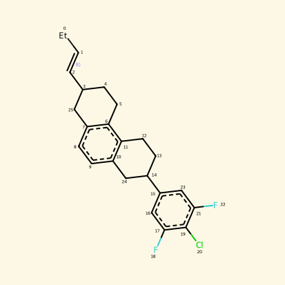 CC/C=C/C1CCc2c(ccc3c2CCC(c2cc(F)c(Cl)c(F)c2)C3)C1